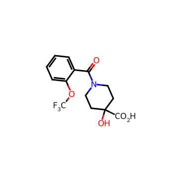 O=C(c1ccccc1OC(F)(F)F)N1CCC(O)(C(=O)O)CC1